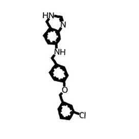 Clc1cccc(COc2ccc(CNc3ccc4c(c3)N=CNC4)cc2)c1